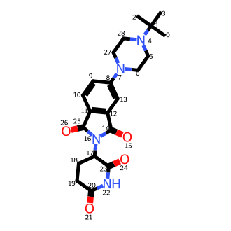 CC(C)(C)N1CCN(c2ccc3c(c2)C(=O)N(C2CCC(=O)NC2=O)C3=O)CC1